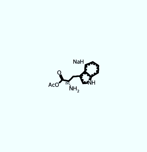 CC(=O)OC(=O)[C@@H](N)Cc1c[nH]c2ccccc12.[NaH]